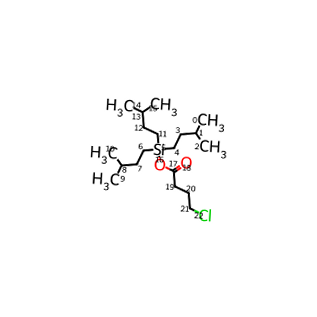 CC(C)CC[Si](CCC(C)C)(CCC(C)C)OC(=O)CCCCl